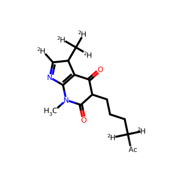 [2H]C1=NC2=C(C(=O)C(CCCC([2H])([2H])C(C)=O)C(=O)N2C)C1C([2H])([2H])[2H]